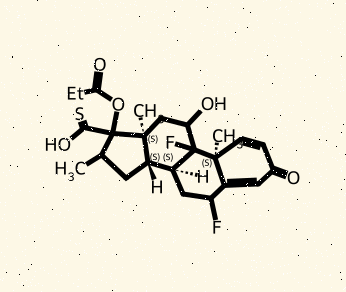 CCC(=O)OC1(C(O)=S)C(C)C[C@H]2[C@@H]3CC(F)C4=CC(=O)C=C[C@]4(C)C3(F)C(O)C[C@@]21C